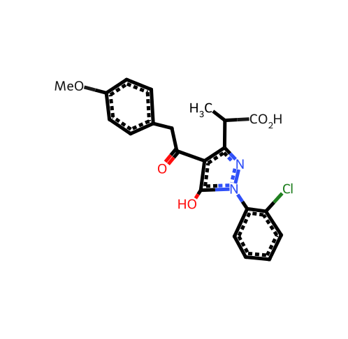 COc1ccc(CC(=O)c2c(C(C)C(=O)O)nn(-c3ccccc3Cl)c2O)cc1